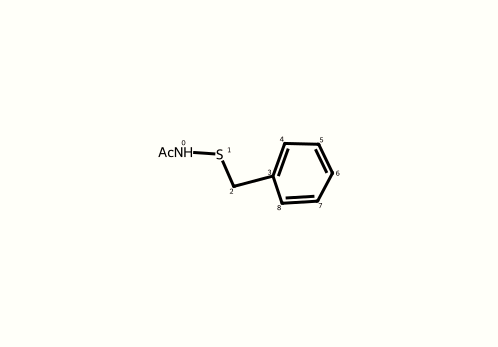 CC(=O)NSCc1ccccc1